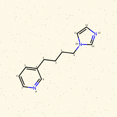 [CH](CCCc1cccnc1)n1ccnc1